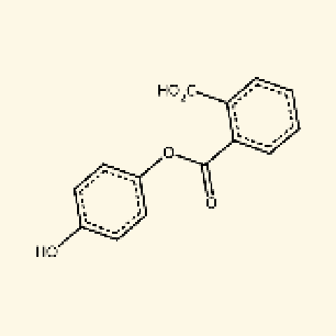 O=C(O)c1ccccc1C(=O)Oc1ccc(O)cc1